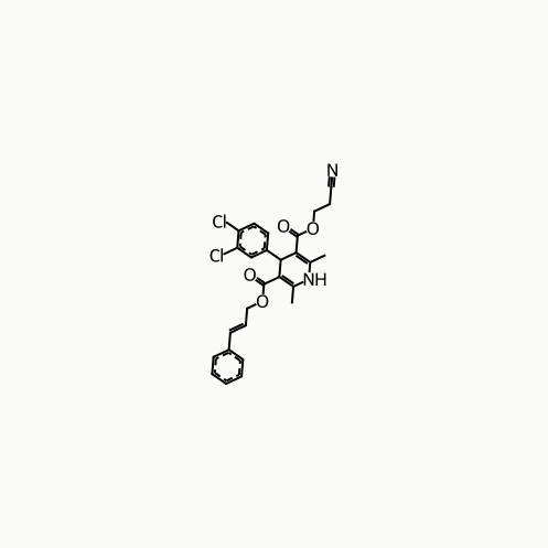 CC1=C(C(=O)OCC=Cc2ccccc2)C(c2ccc(Cl)c(Cl)c2)C(C(=O)OCCC#N)=C(C)N1